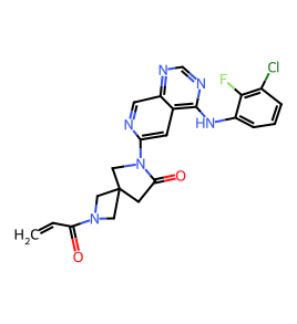 C=CC(=O)N1CC2(CC(=O)N(c3cc4c(Nc5cccc(Cl)c5F)ncnc4cn3)C2)C1